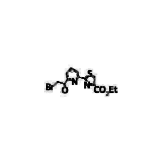 CCOC(=O)c1csc(-c2cccc(C(=O)CBr)n2)n1